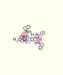 CC(C)(C)C(N)C(=O)N1CC(c2ccc3c(c2)CN(C(=O)C(N)C2CCOCC2)C(C(=O)NC2CCCc4ccccc42)C3)C[C@H]1C(=O)N[C@@H]1CCCc2ccccc21